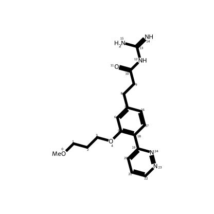 COCCCOc1cc(CCC(=O)NC(=N)N)ccc1-c1cccnn1